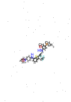 COc1cc(P(C)C)ccc1NCC#Cc1sc2c(NC3CCC(N4CC5CC(C4)O5)CC3)cccc2c1CC(F)(F)F